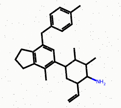 C=CC1CC(c2cc(Cc3ccc(C)cc3)c3c(c2C)CCC3)C(C)C(C)C1N